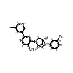 Cc1cncc(-c2ncc(C#N)c(N3C[C@@H]4C[C@@H]3CN4c3cccc(F)c3)n2)c1